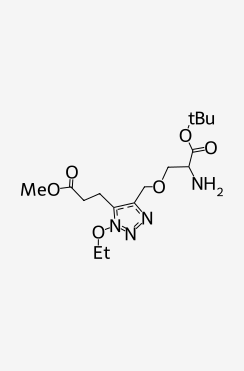 CCOn1nnc(COCC(N)C(=O)OC(C)(C)C)c1CCC(=O)OC